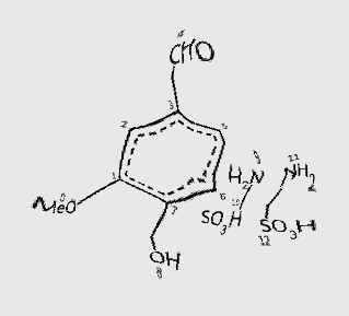 COc1cc(C=O)ccc1O.NS(=O)(=O)O.NS(=O)(=O)O